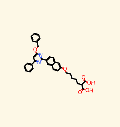 O=C(O)C(CCCCCOc1ccc2cc(-c3nc(OCc4ccccc4)cc(-c4ccccc4)n3)ccc2c1)C(=O)O